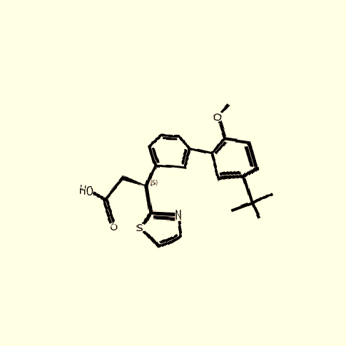 COc1ccc(C(C)(C)C)cc1-c1cccc([C@H](CC(=O)O)c2nccs2)c1